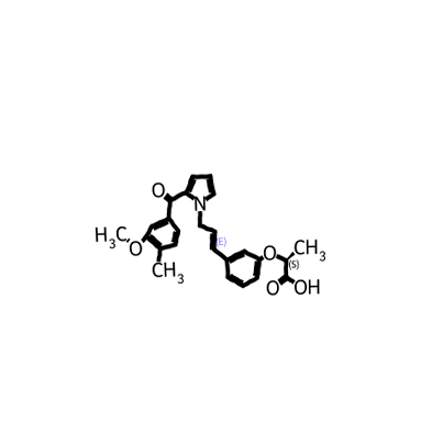 COc1cc(C(=O)c2cccn2C/C=C/c2cccc(O[C@@H](C)C(=O)O)c2)ccc1C